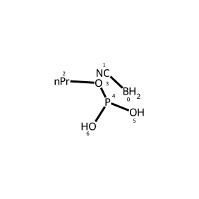 BC#N.CCCOP(O)O